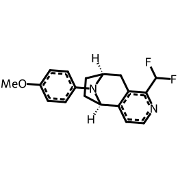 COc1ccc(N2[C@H]3CC[C@@H]2c2ccnc(C(F)F)c2C3)cc1